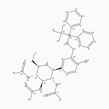 CC[C@H]1O[C@@H](c2ccc(Cl)c(CO[Si](c3ccccc3)(c3ccccc3)C(C)(C)C)c2)[C@H](OC(C)=O)[C@@H](OC(C)=O)[C@@H]1OC(C)=O